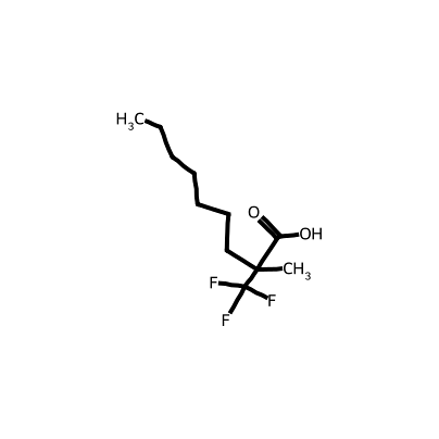 CCCCCCCC(C)(C(=O)O)C(F)(F)F